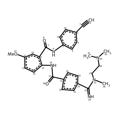 C#Cc1ccc(NC(=O)c2cc(OC)ccc2NC(=O)c2ccc(C(=N)N(C)CCN(C)C)cc2)cc1